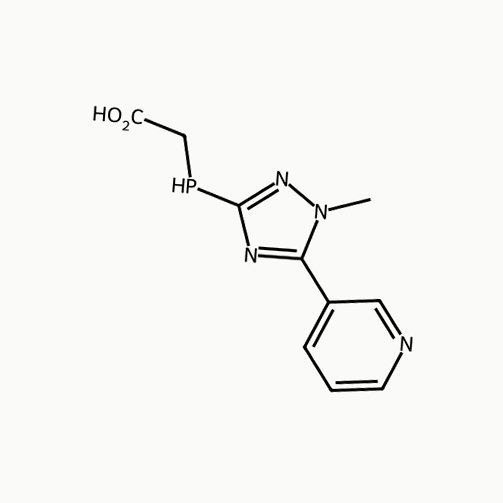 Cn1nc(PCC(=O)O)nc1-c1cccnc1